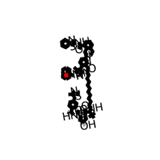 Cc1ncsc1-c1ccc([C@H](C)NC(=O)[C@@H]2C[C@@H](O)CN2C(=O)C(NC(=O)CCCCCCCCCNC(=O)c2nc(N3CCc4cccc(C(=O)Nc5nc6ccccc6s5)c4C3)ccc2-c2cnn(CC34CC5CC(CC(C5)C3)C4)c2C)C(C)(C)C)cc1